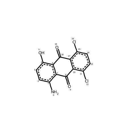 Nc1ccc(O)c2c1C(=O)c1c(Cl)ccc(Cl)c1C2=O